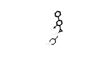 FC(F)(F)c1cc(-c2ccccc2)ccc1C1CC1NCC1CCNCC1